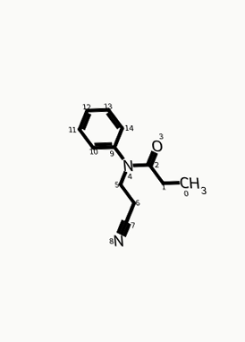 CCC(=O)N(CCC#N)c1ccccc1